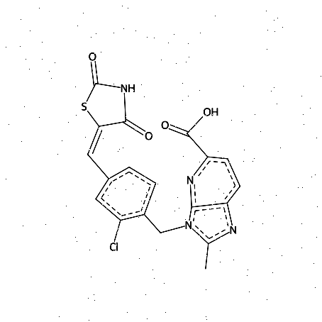 Cc1nc2ccc(C(=O)O)nc2n1Cc1ccc(C=C2SC(=O)NC2=O)cc1Cl